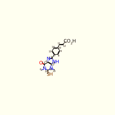 CN1C(=O)c2nc(-c3ccc(/C=C/C(=O)O)cc3)[nH]c2N(C)C1S